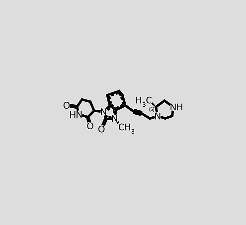 C[C@H]1CNCCN1CC#Cc1cccc2c1n(C)c(=O)n2C1CCC(=O)NC1=O